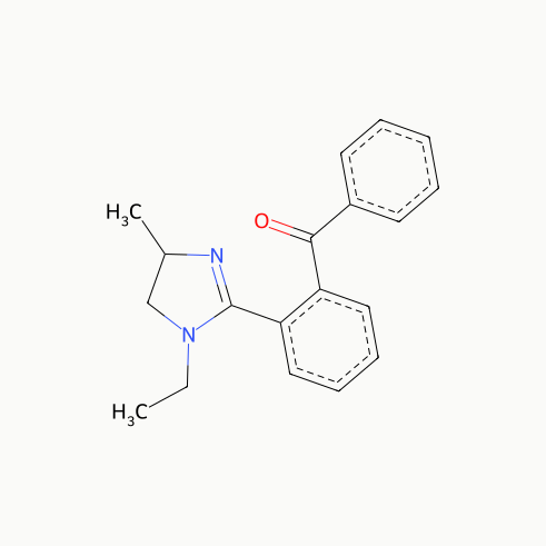 CCN1CC(C)N=C1c1ccccc1C(=O)c1ccccc1